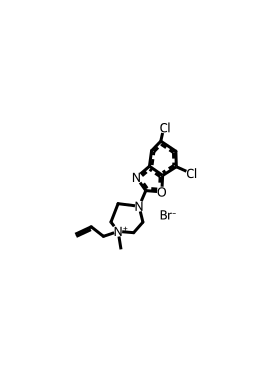 C=CC[N+]1(C)CCN(c2nc3cc(Cl)cc(Cl)c3o2)CC1.[Br-]